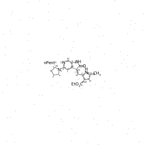 CCCCC[C@H]1CCCN1c1cc2c(cn1)NC(=O)/C2=C\c1[nH]c(C)cc1C(=O)OCC